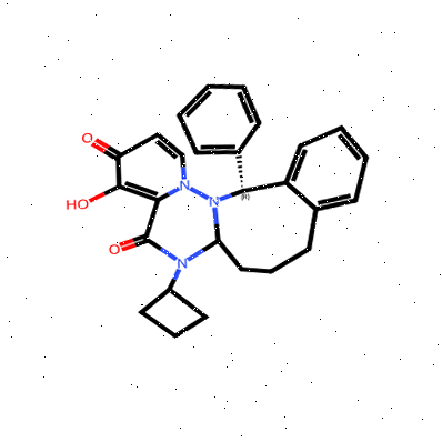 O=C1c2c(O)c(=O)ccn2N2C(CCCc3ccccc3[C@H]2c2ccccc2)N1C1CCC1